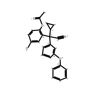 CC(=O)Oc1ccc(Cl)cc1C(C#N)(c1cccc(Oc2ccccc2)c1)C1CC1